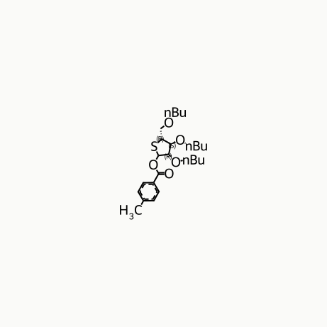 CCCCOC[C@H]1SC(OC(=O)c2ccc(C)cc2)[C@H](OCCCC)[C@@H]1OCCCC